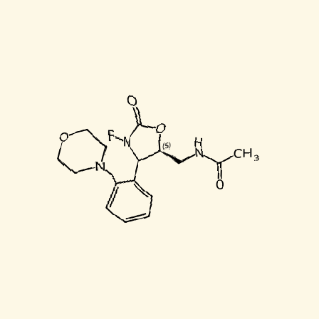 CC(=O)NC[C@@H]1OC(=O)N(F)C1c1ccccc1N1CCOCC1